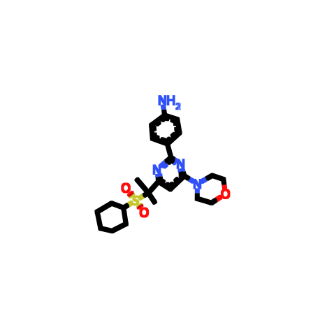 CC(C)(c1cc(N2CCOCC2)nc(-c2ccc(N)cc2)n1)S(=O)(=O)C1CCCCC1